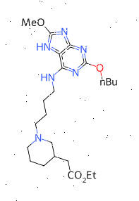 CCCCOc1nc(NCCCCN2CCCC(CC(=O)OCC)C2)c2[nH]c(OC)nc2n1